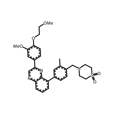 COCCOc1ccc(-c2cnc3cccc(-c4ccc(CN5CCS(=O)(=O)CC5)c(C)c4)c3n2)cc1OC